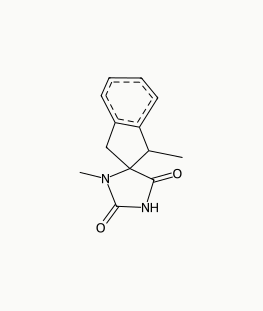 CC1c2ccccc2CC12C(=O)NC(=O)N2C